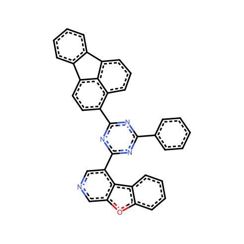 c1ccc(-c2nc(-c3ccc4c5c(cccc35)-c3ccccc3-4)nc(-c3cncc4oc5ccccc5c34)n2)cc1